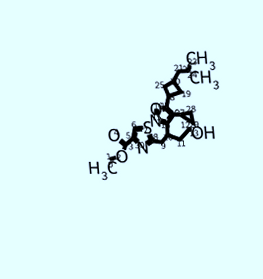 CCOC(=O)c1csc(CC(CCO)c2noc(C3CC(CC(C)C)C3)c2C2CC2)n1